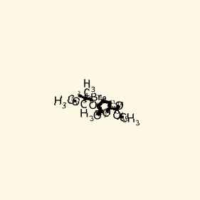 COCC(C)(C)COc1c(Br)cc(C(=O)OC)oc1=O